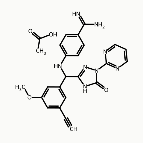 C#Cc1cc(OC)cc(C(Nc2ccc(C(=N)N)cc2)c2nn(-c3ncccn3)c(=O)[nH]2)c1.CC(=O)O